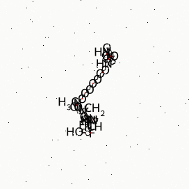 C#Cc1c(F)ccc2cc(O)cc(-c3ncc4c(N5CC6CCC(C5)N6)nc(OCC56CC[C@@H](COC(=O)N(C)CCOCCOCCOCCOCCOCCOCCOCCNc7cccc8c7C(=O)N(C7CCC(=O)NC7=O)C8=O)N5CC(=C)C6)nc4c3F)c12